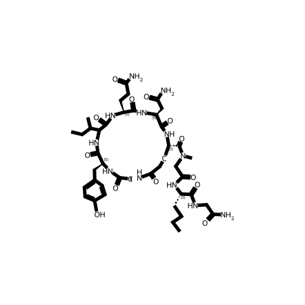 CCCC[C@H](NC(=O)CN(C)C(=O)[C@@H]1CCC(=O)NCC(=O)N[C@@H](Cc2ccc(O)cc2)C(=O)NC(C(C)CC)C(=O)N[C@@H](CCC(N)=O)C(=O)N[C@@H](CC(N)=O)C(=O)N1)C(=O)NCC(N)=O